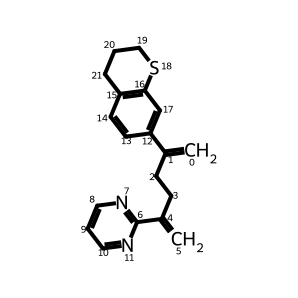 C=C(CCC(=C)c1ncccn1)c1ccc2c(c1)SCCC2